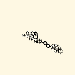 CC1(C)OB(c2ccc3cc(-c4c[nH]c([C@H]5CC(=O)C6c7c(ccn7C5)CC[C@@H]6NC(=O)O)n4)ccc3c2)OC1(C)C